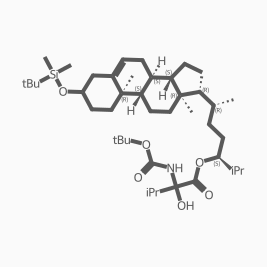 CC(C)[C@H](CC[C@@H](C)[C@H]1CC[C@H]2[C@@H]3CC=C4CC(O[Si](C)(C)C(C)(C)C)CC[C@]4(C)[C@H]3CC[C@]12C)OC(=O)C(O)(NC(=O)OC(C)(C)C)C(C)C